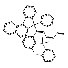 C=C/C=C\C=C(/c1cccc2c1C(C)(C)c1ccccc1O2)C1(c2ccccc2)c2ccccc2-c2c1ccc1ccccc21